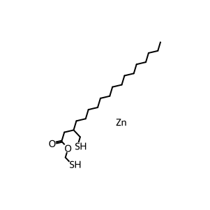 CCCCCCCCCCCCCCCC(CS)CC(=O)OCS.[Zn]